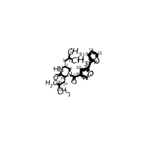 CC(C)C[C@H]1CN(C(=O)c2cc(-c3ccco3)on2)[C@@H](CC(C)C)C(=O)N1